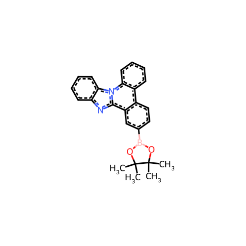 CC1(C)OB(c2ccc3c4ccccc4n4c5ccccc5nc4c3c2)OC1(C)C